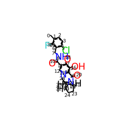 Cc1ccc(Cl)c(CNC(=O)c2cn3c(c(O)c2=O)C(=O)N2[C@H]4CC[C@H](C4)[C@@H]2C3)c1F